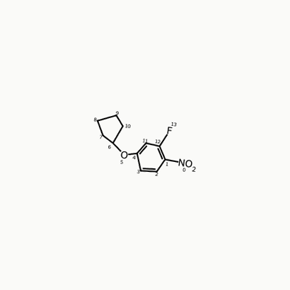 O=[N+]([O-])c1ccc(OC2CCCC2)cc1F